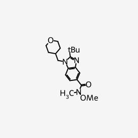 CON(C)C(=O)c1ccc2c(c1)nc(C(C)(C)C)n2CC1CCOCC1